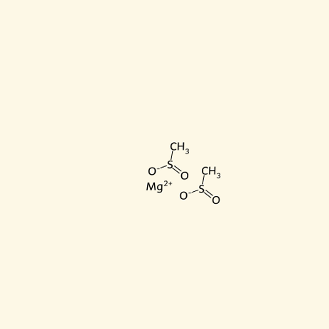 CS(=O)[O-].CS(=O)[O-].[Mg+2]